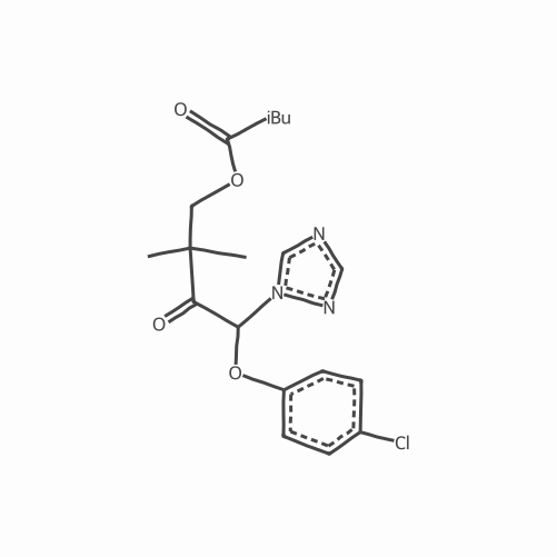 CCC(C)C(=O)OCC(C)(C)C(=O)C(Oc1ccc(Cl)cc1)n1cncn1